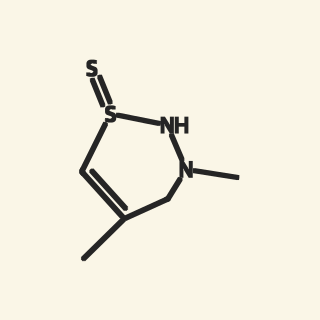 CC1=CS(=S)NN(C)C1